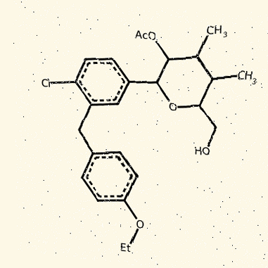 CCOc1ccc(Cc2cc(C3OC(CO)C(C)C(C)C3OC(C)=O)ccc2Cl)cc1